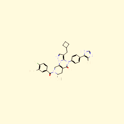 Cc1nc[nH]c1-c1ccc(-n2c(=O)c3c(n4ncc(CC5CCC5)c24)CN(C(=O)c2ccc(Br)c(C(F)(F)F)c2)[C@H](C)C3)cc1